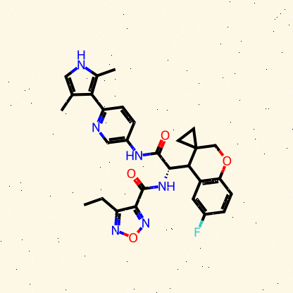 CCc1nonc1C(=O)N[C@H](C(=O)Nc1ccc(-c2c(C)c[nH]c2C)nc1)C1c2cc(F)ccc2OCC12CC2